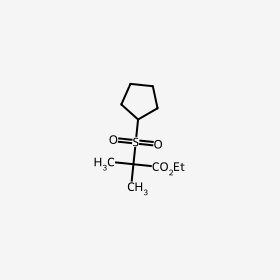 CCOC(=O)C(C)(C)S(=O)(=O)C1CCCC1